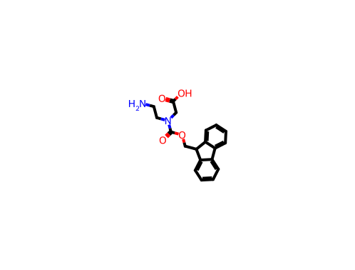 NCCN(CC(=O)O)C(=O)OCC1c2ccccc2-c2ccccc21